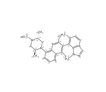 Cc1ccc2cnn(C)c2c1-c1c(Cl)cc2c(N3C[C@@H](C)N(C(=O)O)C[C@@H]3C)ncnc2c1F